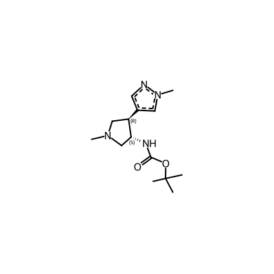 CN1C[C@@H](NC(=O)OC(C)(C)C)[C@H](c2cnn(C)c2)C1